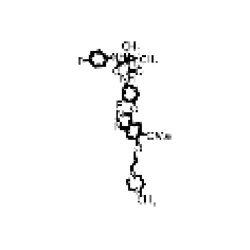 COc1cc2c(Oc3ccc(NC(=O)[C@@]4(C(=O)Nc5ccc(F)cc5)[C@H](C)[C@@H]4C)cc3F)ncnc2cc1OCCCN1CCN(C)CC1